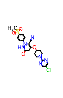 CS(=O)(=O)c1ccc(N2NC(=O)CC(OC3CCN(c4ncc(Cl)cn4)CC3)=C2C#N)cc1